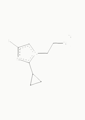 N.NCCn1cc(I)nc1C1CC1